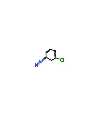 [N-]=[N+]=C1C=CC=C(Cl)C1